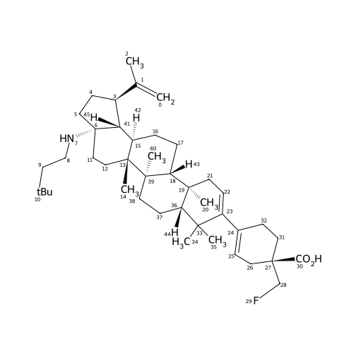 C=C(C)[C@@H]1CC[C@]2(NCCC(C)(C)C)CC[C@]3(C)[C@H](CC[C@@H]4[C@@]5(C)CC=C(C6=CC[C@](CF)(C(=O)O)CC6)C(C)(C)[C@@H]5CC[C@]43C)[C@@H]12